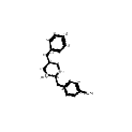 N#Cc1ccc(CC2OCC(Cc3ccccc3)CO2)cc1